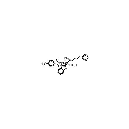 Cc1ccc(S(=O)(=O)N[C@@H]2c3ccccc3C[C@@H]2[C@](C)(C(=O)O)[C@@H](O)CCCCc2ccccc2)cc1